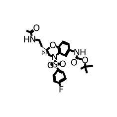 CC(=O)NCC[C@H]1CN(S(=O)(=O)c2ccc(F)cc2)c2cc(NC(=O)OC(C)(C)C)ccc2O1